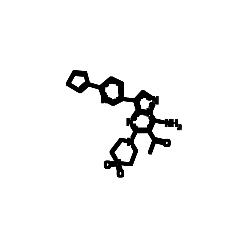 CC(=O)c1c(N2CCS(=O)(=O)CC2)nc2c(-c3ccc(C4=CCC=C4)nc3)cnn2c1N